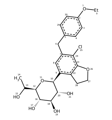 CCOc1ccc(Cc2cc([C@@H]3O[C@H](C(C)O)[C@@H](O)[C@H](O)[C@H]3O)c3c(c2Cl)OCC3)cc1